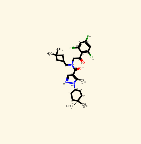 CC1(C)CC(CN(CC(=O)c2c(Cl)cc(F)cc2Cl)C(=O)c2cnn([C@H]3CC[C@](C)(C(=O)O)CC3)c2C(F)(F)F)C1